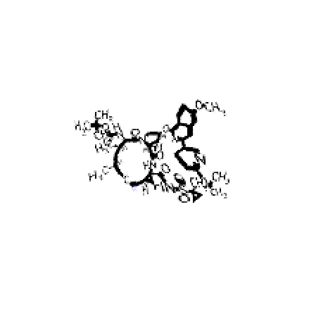 COc1ccc2c(O[C@@H]3C[C@H]4C(=O)N[C@]5(C(=O)NS(=O)(=O)C6(C)CC6)C[C@H]5/C=C\CC[C@H](C)C[C@@H](C)[C@H](NC(=O)OC(C)(C)C)C(=O)N4C3)nc(-c3ccc(OC(C)C)nc3)cc2c1